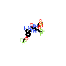 CS(=O)(=O)CC(=O)Nc1c(CCC(F)(F)F)nn2c1C(=O)N[C@]1(CCc3cc(OCC(F)(F)F)ccc31)C2